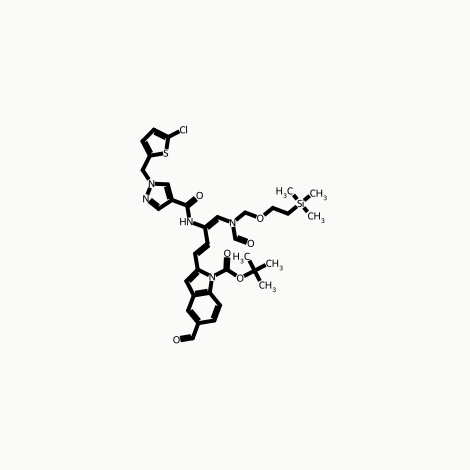 CC(C)(C)OC(=O)n1c(/C=C/C(=C\N(C=O)COCC[Si](C)(C)C)NC(=O)c2cnn(Cc3ccc(Cl)s3)c2)cc2cc(C=O)ccc21